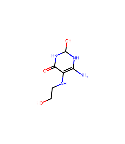 NC1=C(NCCO)C(=O)NC(O)N1